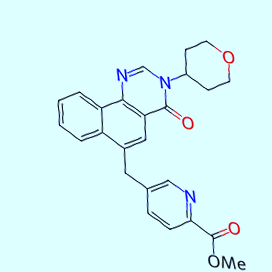 COC(=O)c1ccc(Cc2cc3c(=O)n(C4CCOCC4)cnc3c3ccccc23)cn1